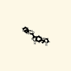 CC1(c2ccc3c(C(=O)N[C@@H]4CN5CCC4CC5)n[nH]c3c2)NCCN1